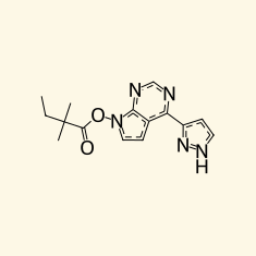 CCC(C)(C)C(=O)On1ccc2c(-c3cc[nH]n3)ncnc21